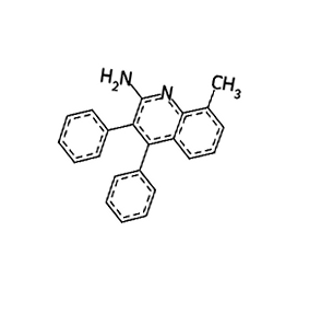 Cc1cccc2c(-c3ccccc3)c(-c3ccccc3)c(N)nc12